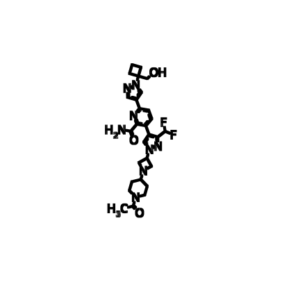 CC(=O)N1CCC(N2CC(n3cc(-c4ccc(-c5cnn(C6(CO)CCC6)c5)nc4C(N)=O)c(C(F)F)n3)C2)CC1